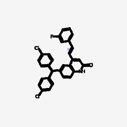 O=c1cc(/C=C/c2cccc(F)c2)c2cc(C(c3ccc(Cl)cc3)c3ccc(Cl)cc3)ccc2[nH]1